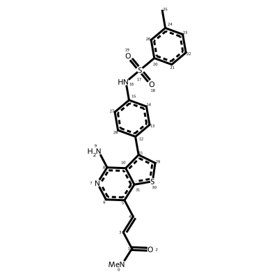 CNC(=O)/C=C/c1cnc(N)c2c(-c3ccc(NS(=O)(=O)c4cccc(C)c4)cc3)csc12